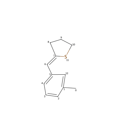 Cc1cccc(C=C2CCCS2)c1